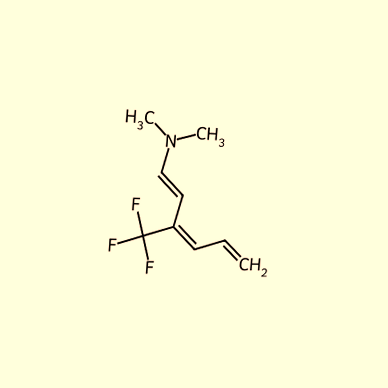 C=C/C=C(\C=C\N(C)C)C(F)(F)F